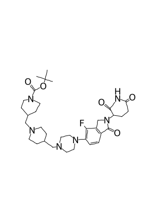 CC(C)(C)OC(=O)N1CCC(CN2CCC(CN3CCN(c4ccc5c(c4F)CN(C4CCC(=O)NC4=O)C5=O)CC3)CC2)CC1